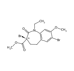 CCN1C(=O)[C@@](Br)(C(=O)OC)CCc2cc(Br)c(OC)cc21